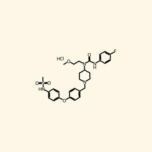 COCCN(C(=O)Nc1ccc(F)cc1)C1CCN(Cc2ccc(Oc3ccc(NS(C)(=O)=O)cc3)cc2)CC1.Cl